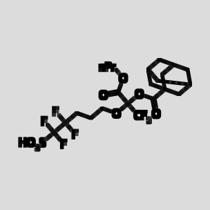 CCCOC(=O)C(OCCCC(F)(F)C(F)(F)S(=O)(=O)O)(OC(=O)C12CC3CC(CC(C3)C1)C2)C(F)(F)F